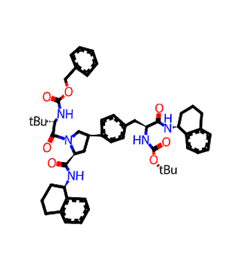 CC(C)(C)OC(=O)N[C@@H](Cc1ccc([C@H]2C[C@@H](C(=O)N[C@@H]3CCCc4ccccc43)N(C(=O)[C@@H](NC(=O)OCc3ccccc3)C(C)(C)C)C2)cc1)C(=O)N[C@@H]1CCCc2ccccc21